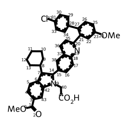 COC(=O)c1ccc2c(C3CCCCC3)c(-c3ccc4nc(-c5cc(OC)ccc5-c5ccc(Cl)cc5)ccc4c3)n(CC(=O)O)c2c1